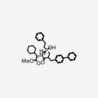 COC(=O)[C@@H](NC(=O)C(Cc1ccc(-c2ccccc2)cc1)CP(=O)(O)CCc1ccccc1)C1CCCCC1